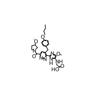 CCCCOc1ccc(Cc2cc(C(=O)N3CCC(OC)C3)nnc2-c2nc(OC)c(NCC(=O)O)[nH]2)cc1